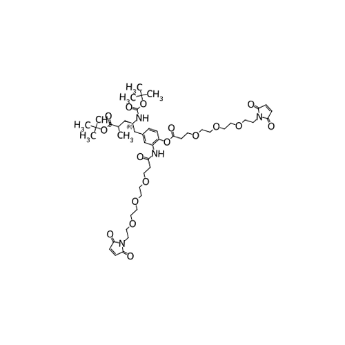 CC(C[C@H](Cc1ccc(OC(=O)CCOCCOCCOCCN2C(=O)C=CC2=O)c(NC(=O)CCOCCOCCOCCN2C(=O)C=CC2=O)c1)NC(=O)OC(C)(C)C)C(=O)OC(C)(C)C